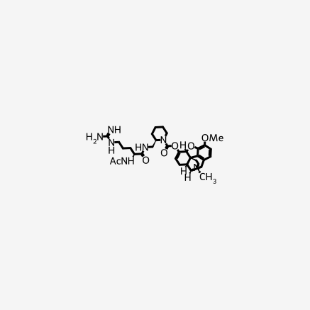 COc1ccc2c3c1O[C@H]1C(OC(=O)N4CCCC[C@@H]4CNC(=O)[C@H](CCCNC(=N)N)NC(C)=O)=CC[C@H]4[C@@H](C2)N(C)CC[C@]314